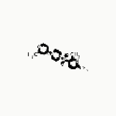 Cc1nc(C(F)(F)F)ccc1S(=O)(=O)N1CCN([C@@H]2CCO[C@@H](C)C2)CC1